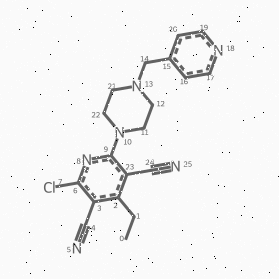 CCc1c(C#N)c(Cl)nc(N2CCN(Cc3ccncc3)CC2)c1C#N